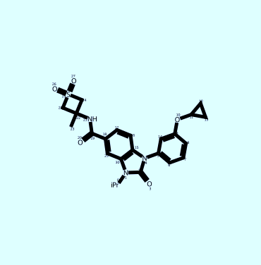 CC(C)n1c(=O)n(-c2cccc(OC3CC3)c2)c2ccc(C(=O)NC3(C)CS(=O)(=O)C3)cc21